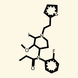 CCC(=O)N(c1ccccc1F)C1CCN(CCc2cccs2)C(I)C1OC